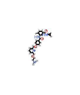 Cc1ccc(C(=O)NC2CC2)cc1NC(=O)c1ccc(OCc2cccc(COCCN(C)C)n2)cc1